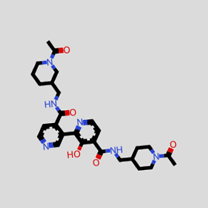 CC(=O)N1CCC(CNC(=O)c2ccnc(-c3cnccc3C(=O)NCC3CCCN(C(C)=O)C3)c2O)CC1